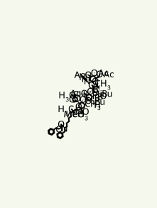 CC[C@H](C)C1O[C@H](O[C@H]2C([C@H]3COC(C)(C)O3)O[C@@](OCC(C)(C)CCCCCCN(Cc3ccccc3)C(=O)OCc3ccccc3)(C(=O)OC)C[C@H]2C)C(OC(C)=O)[C@@H](O[C@H]2O[C@@H]([C@@H](C)CC)CC(C)C2O[C@H]2OC(COC(C)=O)[C@@H](OC(C)=O)C(OC(C)=O)[C@H]2N=[N+]=[N-])[C@@H]1PBB=O